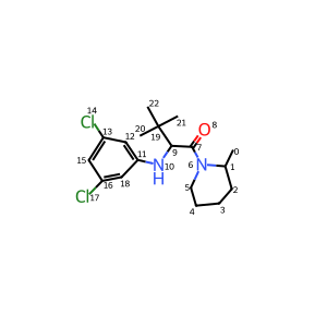 CC1CCCCN1C(=O)C(Nc1cc(Cl)cc(Cl)c1)C(C)(C)C